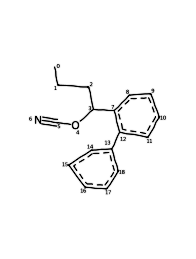 CCCC(OC#N)c1ccccc1-c1ccccc1